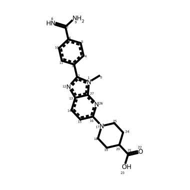 Cn1c(-c2ccc(C(=N)N)cc2)nc2ccc(N3CCC(C(=O)O)CC3)nc21